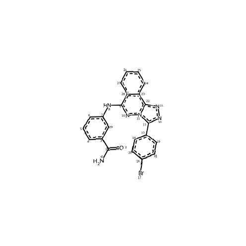 NC(=O)c1cccc(Nc2nn3c(-c4ccc(Br)cc4)nnc3c3ccccc23)c1